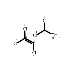 CC(Cl)Cl.ClC=C(Cl)Cl